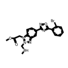 CBC[n+]1nc2cc(-c3noc(-c4ccccc4Br)n3)ccc2n1CC(=O)OC